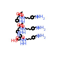 CCOC(=O)C(Cc1ccccc1)NC(=O)NCCCCc1ccc(C=NN)cc1.CCOC(=O)C(Cc1cccnc1)NC(=O)NCCCCc1ccc(C=NN)cc1.NN=Cc1ccc(CCCCNC(=O)NC(CC(=O)O)c2cccnc2)cc1